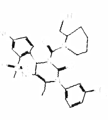 CC1=C(C#N)[C@@H](c2ccc(C#N)cc2S(C)(=O)=O)N(C(=O)N2CCCCC2CO)C(=O)N1c1cccc(C(F)(F)F)c1